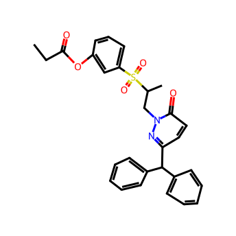 CCC(=O)Oc1cccc(S(=O)(=O)C(C)Cn2nc(C(c3ccccc3)c3ccccc3)ccc2=O)c1